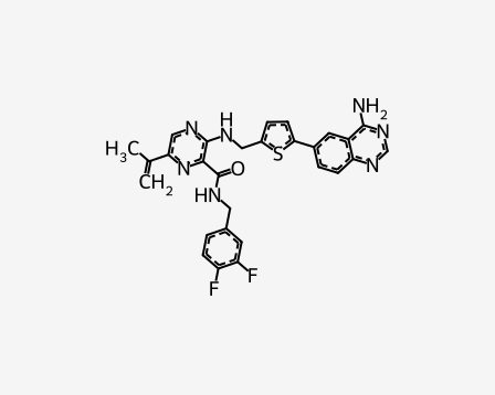 C=C(C)c1cnc(NCc2ccc(-c3ccc4ncnc(N)c4c3)s2)c(C(=O)NCc2ccc(F)c(F)c2)n1